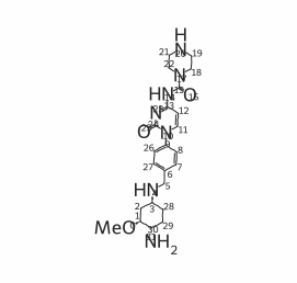 CO[C@H]1C[C@@H](NCc2ccc(-n3ccc(NC(=O)N4CCNCC4)nc3=O)cc2)CC[C@@H]1N